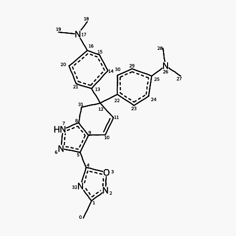 Cc1noc(-c2n[nH]c3c2C=CC(c2ccc(N(C)C)cc2)(c2ccc(N(C)C)cc2)C3)n1